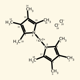 Cc1c(C)c(C)[n]([Zr+2][n]2c(C)c(C)c(C)c2C)c1C.[Cl-].[Cl-]